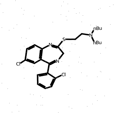 CCCCN(CCCC)CCSC1=Nc2ccc(Cl)cc2C(c2ccccc2Cl)=NC1